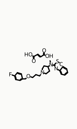 CN(C1=Nc2ccccc2CS1)C1CCN(CCCOCc2ccc(F)cc2)CC1.O=C(O)/C=C/C(=O)O